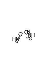 O=C1CCc2c(-c3cccc(CNSI)c3)ccnc2N1